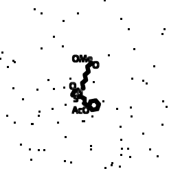 COC(=O)CCCCCCN1C(=O)CSC1CCC1(OC(C)=O)CCCCC1